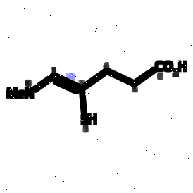 CN/C=C(\S)CCC(=O)O